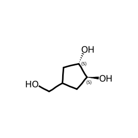 OCC1C[C@H](O)[C@@H](O)C1